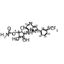 NS(=O)OC[C@H]1C[C@@H](Nc2c(Cl)cnc3cc(-c4cccc(SC(F)(F)F)c4)nn23)[C@H](O)[C@@H]1O